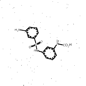 Nc1cccc(S(=O)(=O)Nc2cccc(NC(=O)O)c2)c1